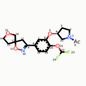 CC(=O)N1CC[C@H](Oc2cc(C3=NOC4(CCOC4)C3)ccc2OC(F)F)C1